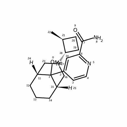 COC1(c2ccnc(C(N)=O)c2)[C@@H]2CCC[C@H]1CN([C@H]1CC[C@@H]1C)C2